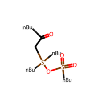 CCCCC(=O)CS(CCCC)(CCCC)OS(=O)(=O)CCCC